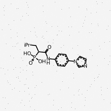 CC(C)CC(C(=O)Nc1ccc(-n2ccnc2)cc1)P(=O)(O)O